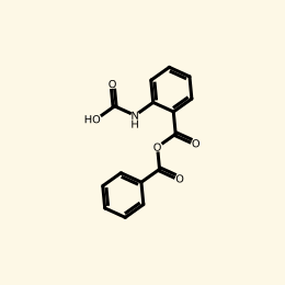 O=C(O)Nc1ccccc1C(=O)OC(=O)c1ccccc1